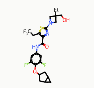 CCC1(CO)CN(c2nc(C(=O)Nc3cc(F)c(OC4CC5CC5C4)c(F)c3)c(CC(F)(F)F)s2)C1